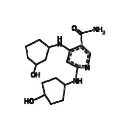 NC(=O)c1cnc(NC2CCC(O)CC2)cc1NC1CCCC(O)C1